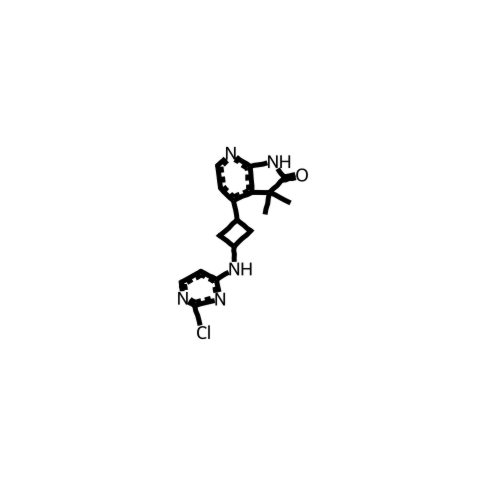 CC1(C)C(=O)Nc2nccc(C3CC(Nc4ccnc(Cl)n4)C3)c21